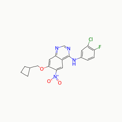 O=[N+]([O-])c1cc2c(Nc3ccc(F)c(Cl)c3)ncnc2cc1OCC1CCC1